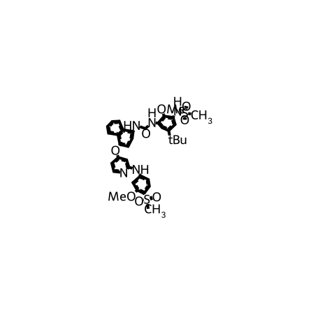 COc1cc(Nc2cc(Oc3ccc(NC(=O)Nc4cc(C(C)(C)C)cc(NS(C)(=O)=O)c4OC)c4ccccc34)ccn2)ccc1S(C)(=O)=O